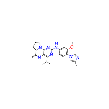 C=C1C2CCCN2c2nc(Nc3ccc(-n4cnc(C)c4)c(OC)c3)nc(C(C)C)c2N1C